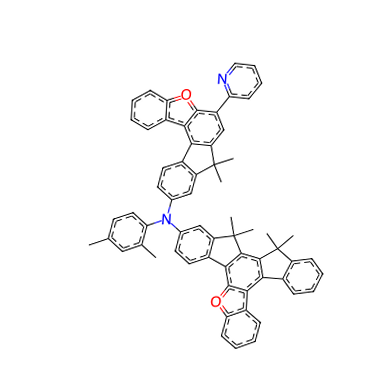 Cc1ccc(N(c2ccc3c(c2)C(C)(C)c2cc(-c4ccccn4)c4oc5ccccc5c4c2-3)c2ccc3c(c2)C(C)(C)c2c4c(c5c(oc6ccccc65)c2-3)-c2ccccc2C4(C)C)c(C)c1